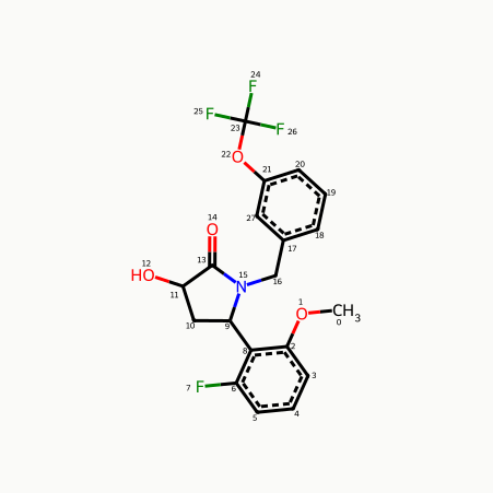 COc1cccc(F)c1C1CC(O)C(=O)N1Cc1cccc(OC(F)(F)F)c1